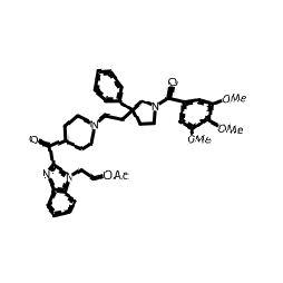 COc1cc(C(=O)N2CCC(CCN3CCC(C(=O)c4nc5ccccc5n4CCOC(C)=O)CC3)(c3ccccc3)C2)cc(OC)c1OC